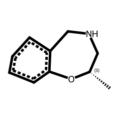 C[C@H]1CNCc2ccccc2O1